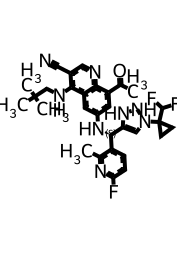 CC(=O)c1cc(N[C@H](C2=CN(C3(C(F)F)CC3)NN2)c2ccc(F)nc2C)cc2c(NCC(C)(C)C)c(C#N)cnc12